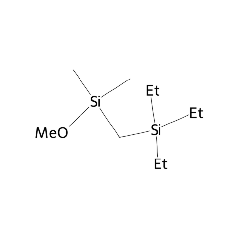 CC[Si](CC)(CC)C[Si](C)(C)OC